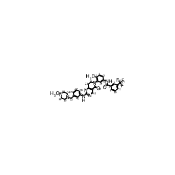 Cc1ccc(NC(=O)c2cccc(C(F)(F)F)c2)cc1N1CCc2nc(Nc3cccc(CN4CCN(C)CC4)c3)ncc2C1=O